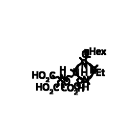 CCCCCCOC(C)c1c(C)c2cc3nc(c4c5[nH]c(cc6nc(cc1[nH]2)C(C)=C6CC)c(C)c5C(=O)C4)[C@@H](CCC(=O)NC(CCC(=O)O)(CCC(=O)O)CCC(=O)O)C3C